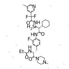 CCC(=O)N[C@H](Cc1ccc(NC(=O)[C@@H]([SiH2]NC(=O)C(F)(F)c2cncc(C)c2)C2CCCCC2)c(F)c1)C(=O)N1CCN(C)CC1